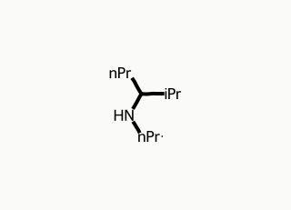 CC[CH]NC(CCC)C(C)C